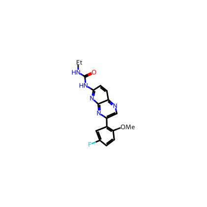 CCNC(=O)Nc1ccc2ncc(-c3cc(F)ccc3OC)nc2n1